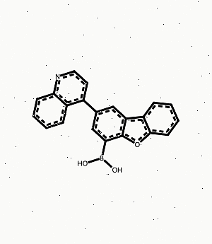 OB(O)c1cc(-c2ccnc3ccccc23)cc2c1oc1ccccc12